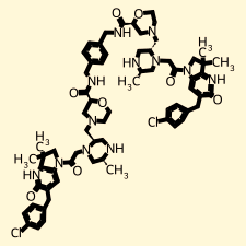 C[C@@H]1CN(CC(=O)N2CC(C)(C)c3[nH]c(=O)c(Cc4ccc(Cl)cc4)cc32)[C@@H](CN2CCO[C@H](C(=O)NCc3ccc(CNC(=O)[C@@H]4CN(C[C@H]5CN[C@H](C)CN5CC(=O)N5CC(C)(C)c6[nH]c(=O)c(Cc7ccc(Cl)cc7)cc65)CCO4)cc3)C2)CN1